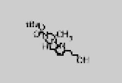 C[C@@H]1CN(C(=O)OC(C)(C)C)C[C@H]2Cc3ccc(CCCO)nc3N21